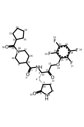 O=C(N[C@@H](C[C@@H]1CCNC1=O)C(=O)COc1c(F)c(F)cc(F)c1F)C1CCN(C(=O)C2CCCC2)CC1